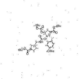 COc1ccc(C[C@@H]2[C@H](OC(=O)NC[C@H]3CCN(C(=O)OC(C)(C)C)C3)[C@@H](OC(=O)OC(C)(C)C)CN2C(=O)OC(C)(C)C)cc1